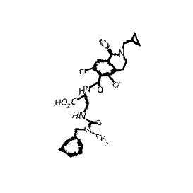 CN(Cc1ccccc1)C(=O)NCC(NC(=O)c1c(Cl)cc2c(c1Cl)CCN(CC1CC1)C2=O)C(=O)O